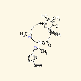 CSc1nc(/C=C(\C)[C@@H]2C/C=C(/C)CCC[C@@H]3C[C@@](C)(C(=O)[C@H](C)[C@H]3O)[C@@H](O)CC(=O)O2)cs1